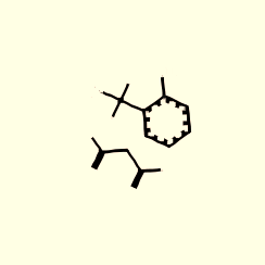 Cc1ccccc1C(C)(C)N.O=C(O)CC(=O)O